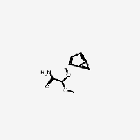 COC(OC)C(N)=O.c1cc2cc-2c1